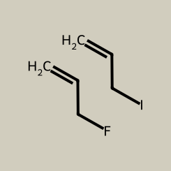 C=CCF.C=CCI